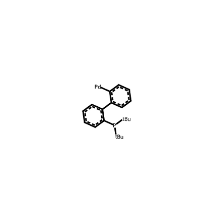 CC(C)(C)P(c1ccccc1-c1cccc[c]1[Pd])C(C)(C)C